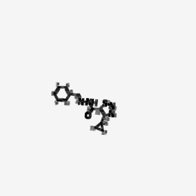 O=C(NN=Cc1ccccc1)c1snnc1C1CC1